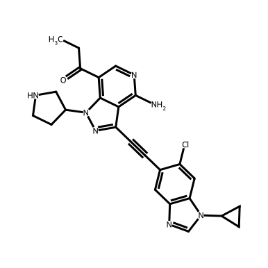 CCC(=O)c1cnc(N)c2c(C#Cc3cc4ncn(C5CC5)c4cc3Cl)nn(C3CCNC3)c12